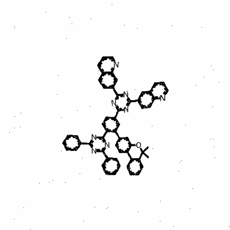 CC1(C)Oc2cc(-c3cc(-c4nc(-c5ccc6ncccc6c5)nc(-c5ccc6cccnc6c5)n4)ccc3-c3nc(-c4ccccc4)nc(-c4ccccc4)n3)ccc2-c2ccccc21